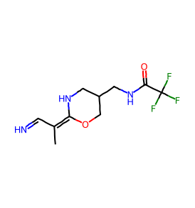 C/C(C=N)=C1/NCC(CNC(=O)C(F)(F)F)CO1